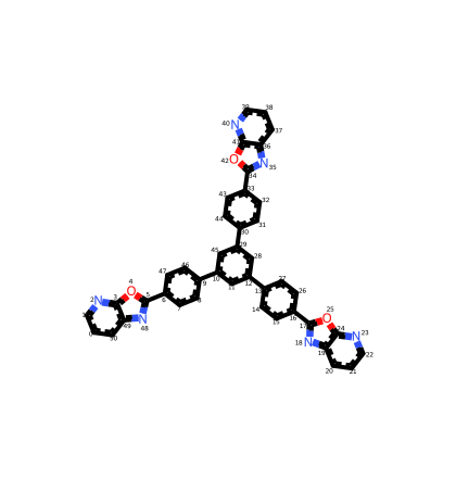 c1cnc2oc(-c3ccc(-c4cc(-c5ccc(-c6nc7cccnc7o6)cc5)cc(-c5ccc(-c6nc7cccnc7o6)cc5)c4)cc3)nc2c1